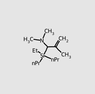 C=C(C)C(N(C)C)[Si](CC)(CCC)CCC